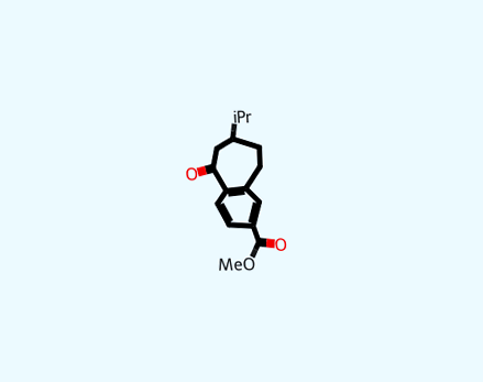 COC(=O)c1ccc2c(c1)CCC(C(C)C)CC2=O